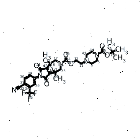 CC(C)(C)OC(=O)N1CCN(CCOC(=O)N2CC3(C)OC(C)(C2)C2C(=O)N(c4ccc(C#N)c(C(F)(F)F)c4)C(=O)C23)CC1